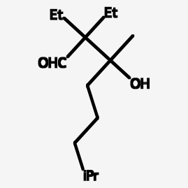 CCC(C=O)(CC)C(C)(O)CCCC(C)C